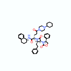 O=C(N[C@@H]1CCCc2ccccc21)[C@H](CCC(=O)N1CCN(C2CCCCC2)CC1)N1C(=O)[C@@H](N2C(=O)OC[C@@H]2c2ccccc2)[C@H]1CCc1ccccc1